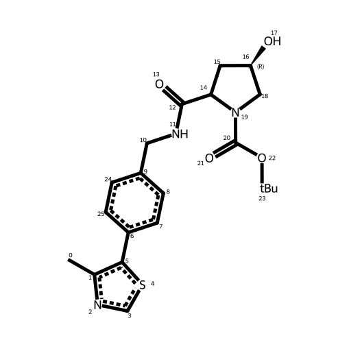 Cc1ncsc1-c1ccc(CNC(=O)C2C[C@@H](O)CN2C(=O)OC(C)(C)C)cc1